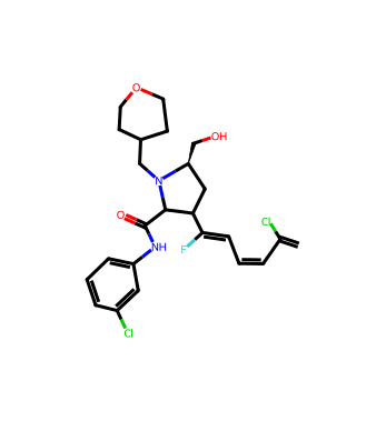 C=C(Cl)/C=C\C=C(/F)C1C[C@H](CO)N(CC2CCOCC2)C1C(=O)Nc1cccc(Cl)c1